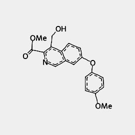 COC(=O)c1ncc2cc(Oc3ccc(OC)cc3)ccc2c1CO